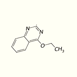 CCOc1n[c]nc2ccccc12